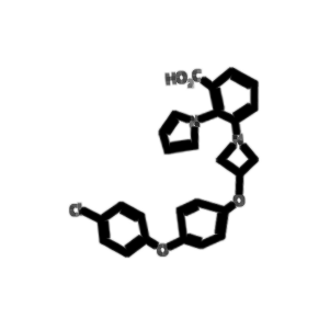 O=C(O)c1cccc(N2CC(Oc3ccc(Oc4ccc(Cl)cc4)cc3)C2)c1-n1cccc1